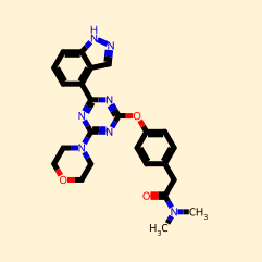 CN(C)C(=O)Cc1ccc(Oc2nc(-c3cccc4[nH]ncc34)nc(N3CCOCC3)n2)cc1